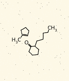 CC1=CCCC1.CCCCCC1CCCCC1=O